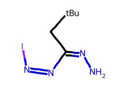 CC(C)(C)CC(/N=N\I)=N/N